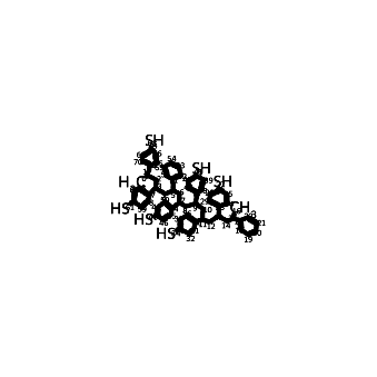 CC(CC(CC(CC(CC(CC(CC(CC(C)c1ccccc1)c1ccc(S)cc1)c1ccc(S)cc1)c1ccc(S)cc1)c1ccc(S)cc1)c1ccccc1)c1ccc(S)cc1)c1ccc(S)cc1